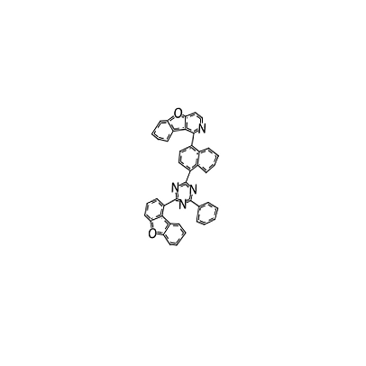 c1ccc(-c2nc(-c3ccc(-c4nccc5oc6ccccc6c45)c4ccccc34)nc(-c3cccc4oc5ccccc5c34)n2)cc1